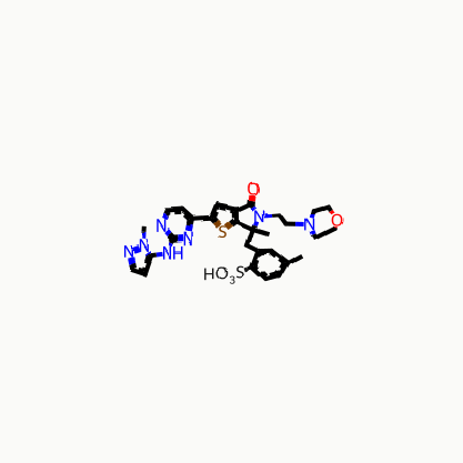 Cc1ccc(S(=O)(=O)O)c(CC2(C)c3sc(-c4ccnc(Nc5ccnn5C)n4)cc3C(=O)N2CCN2CCOCC2)c1